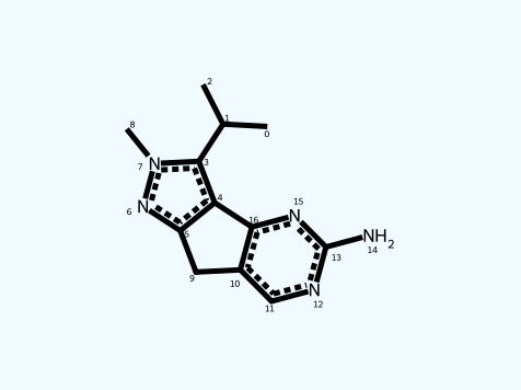 CC(C)c1c2c(nn1C)Cc1cnc(N)nc1-2